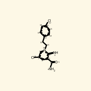 N=c1c(C(N)=O)cc(Cl)cn1CCc1ccc(Cl)cc1